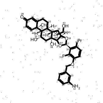 CC(C)c1ccc(OCc2cccc(N)c2)c(F)c1[C@@H]1O[C@@H]2C[C@H]3[C@@H]4CCC5=CC(=O)C=C[C@]5(C)[C@H]4[C@@H](O)C[C@]3(C)[C@]2(C(=O)CO)O1